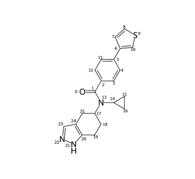 O=C(c1ccc(-c2ccsc2)cc1)N(C1CC1)C1CCc2[nH]ncc2C1